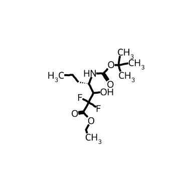 CCC[C@H](NC(=O)OC(C)(C)C)C(O)C(F)(F)C(=O)OCC